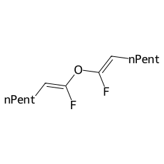 CCCCC/C=C(\F)O/C(F)=C/CCCCC